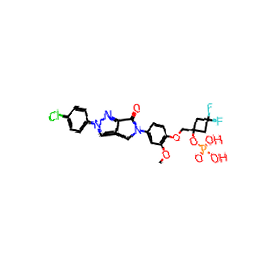 COc1cc(N2Cc3cn(-c4ccc(Cl)cc4)nc3C2=O)ccc1OCC1(OP(=O)(O)O)CC(F)(F)C1